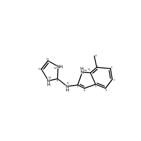 Cc1cccc2cc(NC3NC=CN3)[nH]c12